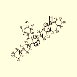 Cc1cc(C[C@@H](OC(=O)N2CCC(N3CCc4ccccc4NC3=O)CC2)C(=O)N2CCC(N3CCCCC3)CC2)cc(C)c1C